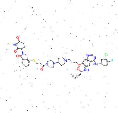 C=CC(=O)Nc1cc2c(Nc3ccc(F)c(Cl)c3)ncnc2cc1OCCCN1CCC(N2CCN(C(=O)CCSc3cccc4c3CN(C3CCC(=O)NC3=O)C4=O)CC2)CC1